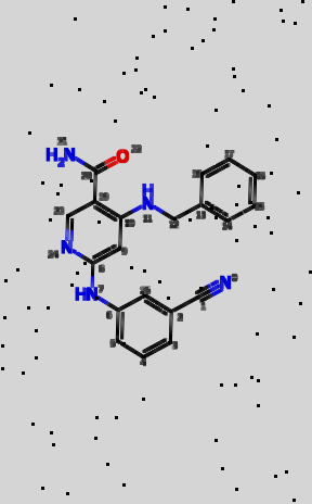 N#Cc1cccc(Nc2cc(NCc3ccccc3)c(C(N)=O)cn2)c1